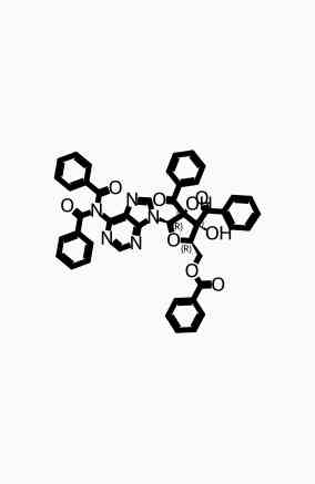 O=C(OC[C@H]1O[C@@H](n2cnc3c(N(C(=O)c4ccccc4)C(=O)c4ccccc4)ncnc32)[C@@](O)(C(=O)c2ccccc2)[C@@]1(O)C(=O)c1ccccc1)c1ccccc1